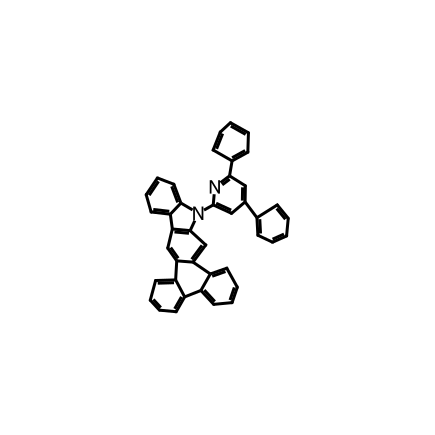 c1ccc(-c2cc(-c3ccccc3)nc(-n3c4ccccc4c4cc5c6ccccc6c6ccccc6c5cc43)c2)cc1